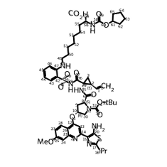 C=C[C@@H]1C[C@]1(NC(=O)[C@@H]1C[C@@H](Oc2cc(-c3nc(C(C)C)sc3N)nc3cc(OC)ccc23)CN1C(=O)OC(C)(C)C)C(=O)NS(=O)(=O)c1ccccc1NCCCCCCC[C@H](NC(=O)OC1CCCC1)C(=O)O